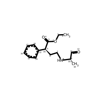 CCOC(=O)[C@@H](CCN[C@@H](C)C=O)c1ccccc1